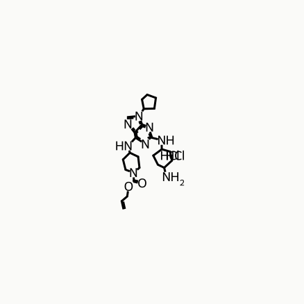 C=CCOC(=O)N1CCC(Nc2nc(NC3CCC(N)CC3)nc3c2ncn3C2CCCC2)CC1.Cl.Cl